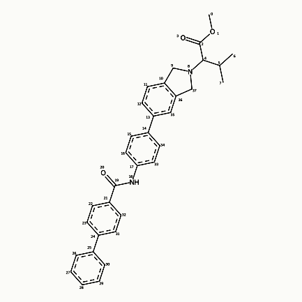 COC(=O)C(C(C)C)N1Cc2ccc(-c3ccc(NC(=O)c4ccc(-c5ccccc5)cc4)cc3)cc2C1